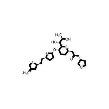 C=C1CO[C@@H](CC[C@@H]2CC[C@@H](O[C@H]3CC[C@H](CC(=O)C[C@@H]4CCOC4)OC3[C@H](O)[C@@H](C)O)O2)C1